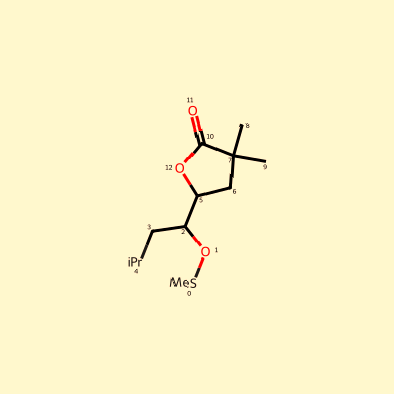 CSOC(CC(C)C)C1CC(C)(C)C(=O)O1